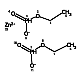 CCO[PH](=O)[O-].CCO[PH](=O)[O-].[Zn+2]